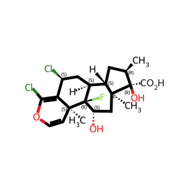 C[C@@H]1C[C@H]2[C@@H]3C[C@H](Cl)C4=C(Cl)OC=C[C@]4(C)[C@@]3(F)[C@@H](O)C[C@]2(C)[C@@]1(O)C(=O)O